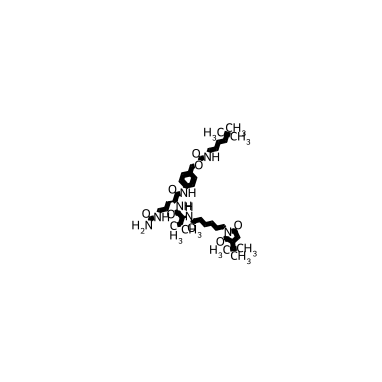 CC(C)[C@H](NC(=O)CCCCCN1C(=O)CC(C(C)(C)C)C1=O)C(=O)N[C@@H](CCCNC(N)=O)C(=O)Nc1ccc(COC(=O)NCCCCC(C)(C)C)cc1